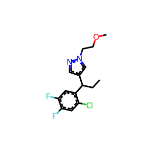 CCC(c1cnn(CCOC)c1)c1cc(F)c(F)cc1Cl